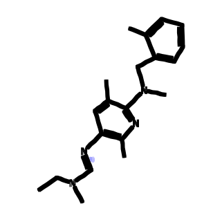 CCN(C)/C=N/c1cc(C)c(N(C)Cc2ccccc2C)nc1C